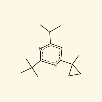 CC(C)c1cc(C2(C)CC2)nc(C(C)(C)C)n1